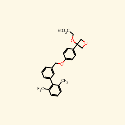 CCOC(=O)COC1(c2ccc(OCc3cccc(-c4c(C(F)(F)F)cccc4C(F)(F)F)c3)cc2)COC1